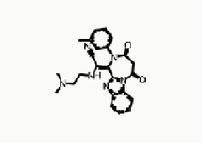 Cc1cccc(N2C(=O)CC(=O)n3c(nc4ccccc43)/C2=C(/C#N)NCCN(C)C)c1